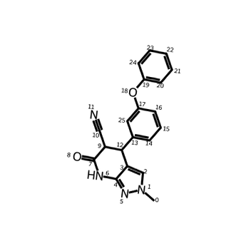 Cn1cc2c(n1)NC(=O)C(C#N)C2c1cccc(Oc2ccccc2)c1